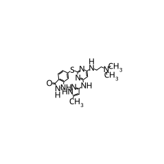 Cc1cc(Nc2cc(NCCN(C)C)nc(Sc3ccc4c(=O)[nH][nH]c4c3)n2)n[nH]1